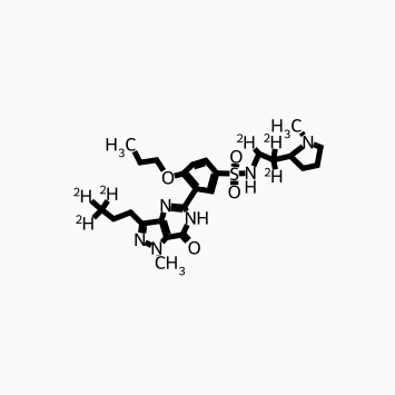 [2H]C(NS(=O)(=O)c1ccc(OCCC)c(-c2nc3c(CCC([2H])([2H])[2H])nn(C)c3c(=O)[nH]2)c1)C([2H])([2H])C1CCCN1C